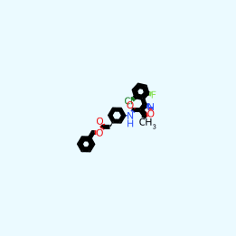 Cc1onc(-c2c(F)cccc2Cl)c1C(=O)N[C@H]1CCC[C@@H](CC(=O)OCc2ccccc2)C1